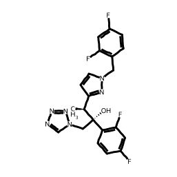 C[C@@H](c1ccn(Cc2ccc(F)cc2F)n1)[C@](O)(Cn1cnnn1)c1ccc(F)cc1F